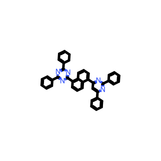 C1=CCCC(c2nc(-c3ccccc3)nc(-c3cccc4c(-c5cc(-c6ccccc6)nc(-c6ccccc6)n5)cccc34)n2)=C1